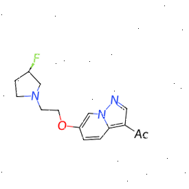 CC(=O)c1cnn2cc(OCCN3CC[C@@H](F)C3)ccc12